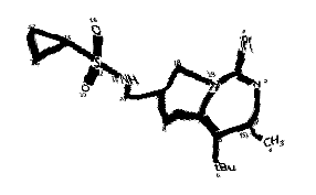 CC(C)C1=N[C@@H](C)C(C(C)(C)C)=C2CC(CNS(=O)(=O)C3CC3)CN12